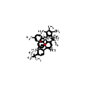 Cl.Cl.[CH2]=[Zr]([C]1=C(C)C(C)=C(C)C1C)([c]1ccc(C)cc1)([c]1ccc(C)cc1)[c]1c(C(C)(C)C)ccc2c1Cc1cc(C(C)(C)C)ccc1-2